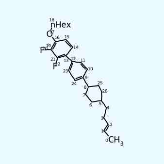 C/C=C/CCC1CCC(c2ccc(-c3ccc(OCCCCCC)c(F)c3F)cc2)CC1